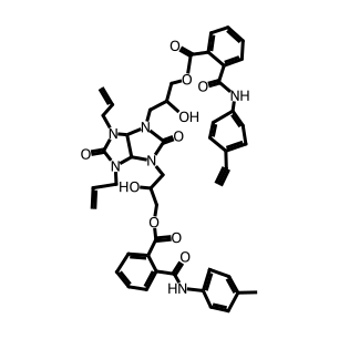 C#Cc1ccc(NC(=O)c2ccccc2C(=O)OCC(O)CN2C(=O)N(CC(O)COC(=O)c3ccccc3C(=O)Nc3ccc(C)cc3)C3C2N(CC=C)C(=O)N3CC=C)cc1